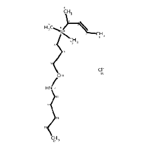 CC=CC(C)[N+](C)(C)CCCONCCCCC.[Cl-]